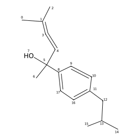 CC(C)=C=CC(C)(O)c1ccc(CC(C)C)cc1